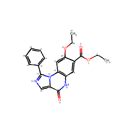 CCOC(=O)c1cc2[nH]c(=O)c3cnc(-c4ccccc4)n3c2cc1OCC